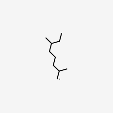 [CH2]C(C)CCCC(C)CC